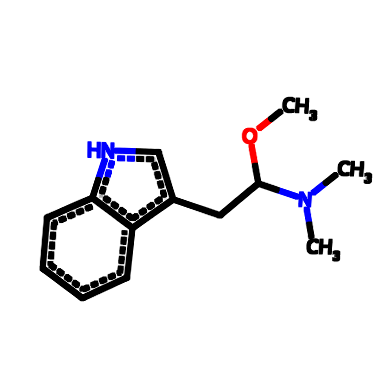 COC(Cc1c[nH]c2ccccc12)N(C)C